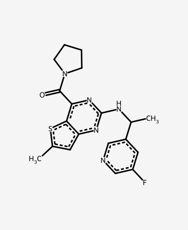 Cc1cc2nc(NC(C)c3cncc(F)c3)nc(C(=O)N3CCCC3)c2s1